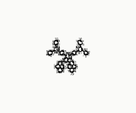 c1ccc(-c2cc(-c3ccccc3)nc(-c3ccc(-c4nc(-c5ccc(-c6nc(-c7ccccc7)cc(-c7ccccc7)n6)cc5)c5cc(-c6ccc7ccc8cccc9ccc6c7c89)cc(-c6ccc7ccc8cccc9ccc6c7c89)c5n4)cc3)c2)cc1